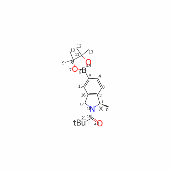 C[C@@H]1c2ccc(B3OC(C)(C)C(C)(C)O3)cc2CN1C(=O)C(C)(C)C